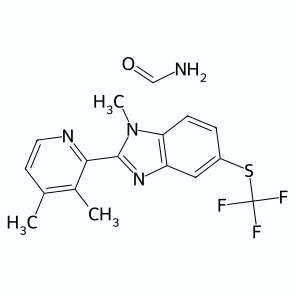 Cc1ccnc(-c2nc3cc(SC(F)(F)F)ccc3n2C)c1C.NC=O